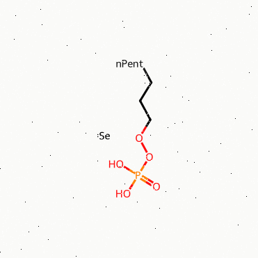 CCCCCCCCOOP(=O)(O)O.[Se]